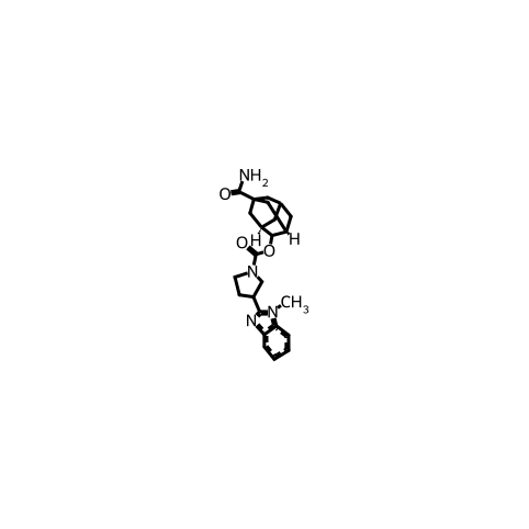 Cn1c(C2CCN(C(=O)OC3[C@@H]4CC5C[C@H]3CC(C(N)=O)(C5)C4)C2)nc2ccccc21